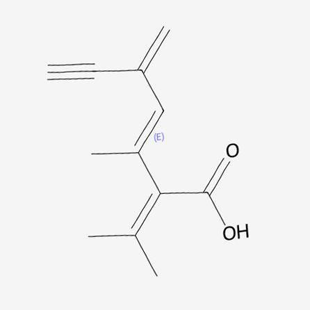 C#CC(=C)/C=C(\C)C(C(=O)O)=C(C)C